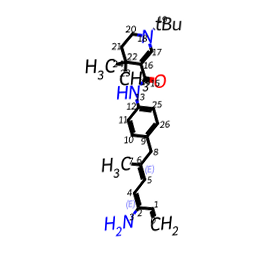 C=C/C(N)=C\C=C(/C)Cc1ccc(NC(=O)C2=CN(C(C)(C)C)CCC2(C)C)cc1